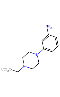 CCOC(=O)CN1CCN(c2cccc(N)c2)CC1